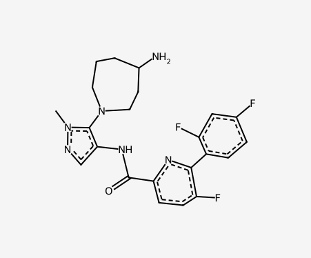 Cn1ncc(NC(=O)c2ccc(F)c(-c3ccc(F)cc3F)n2)c1N1CCCC(N)CC1